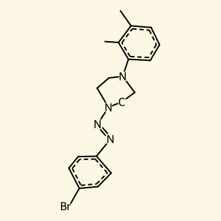 Cc1cccc(N2CCN(/N=N/c3ccc(Br)cc3)CC2)c1C